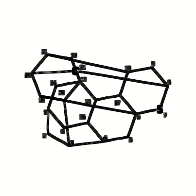 C1C2CC3C4CC56SC7CC8C9CC(C2)(C(C14)C85)C3C6C9C7